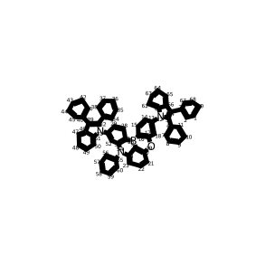 c1ccc(-c2c(-c3ccccc3)n(-c3ccc4c(c3)Oc3cccc5c3B4c3ccc(-n4c(-c6ccccc6)c(-c6ccccc6)c6ccccc64)cc3N5c3ccccc3)c3ccccc23)cc1